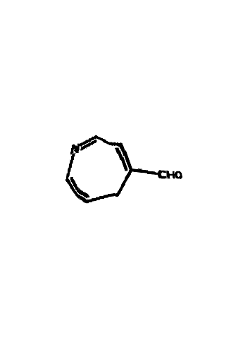 O=CC1=CC=NC=CC1